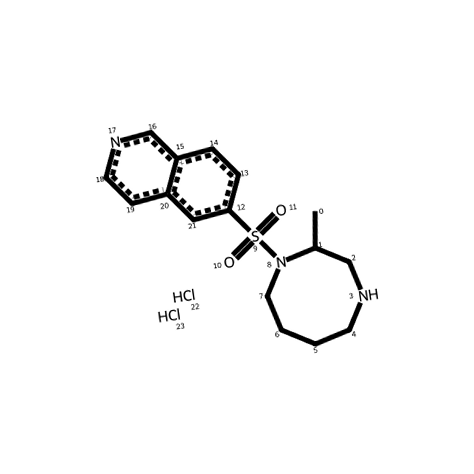 CC1CNCCCCN1S(=O)(=O)c1ccc2cnccc2c1.Cl.Cl